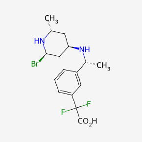 C[C@@H]1C[C@@H](N[C@H](C)c2cccc(C(F)(F)C(=O)O)c2)C[C@@H](Br)N1